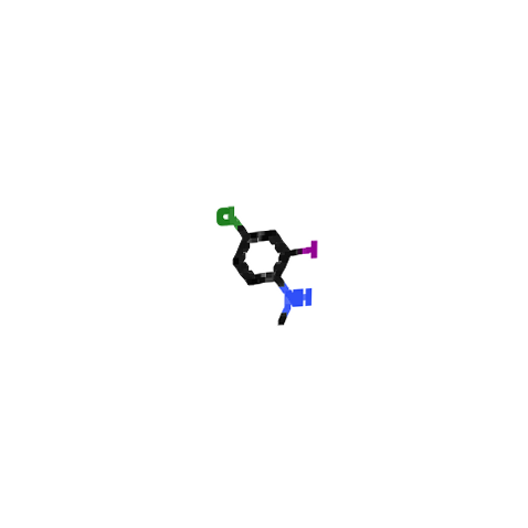 CNc1ccc(Cl)cc1I